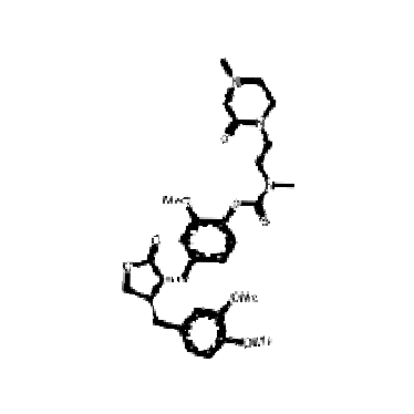 COc1ccc(C[C@H]2COC(=O)[C@@H]2Cc2ccc(OC(=O)N(C)CCN3CCN(C)CC3=O)c(OC)c2)cc1OC